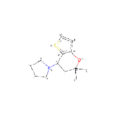 CC1(C)CC(N2CCCC2)c2sccc2O1